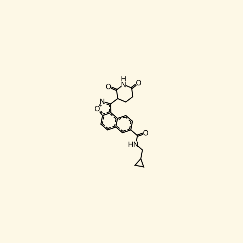 O=C1CCC(c2noc3ccc4cc(C(=O)NCC5CC5)ccc4c23)C(=O)N1